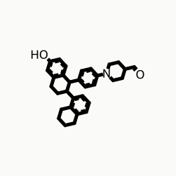 O=CC1CCN(c2ccc(C3c4ccc(O)cc4CCC3c3cccc4c3CCCC4)cc2)CC1